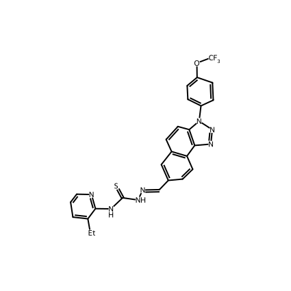 CCc1cccnc1NC(=S)NN=Cc1ccc2c(ccc3c2nnn3-c2ccc(OC(F)(F)F)cc2)c1